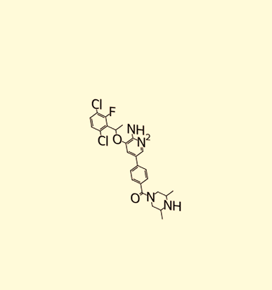 CC1CN(C(=O)c2ccc(-c3cnc(N)c(OC(C)c4c(Cl)ccc(Cl)c4F)c3)cc2)CC(C)N1